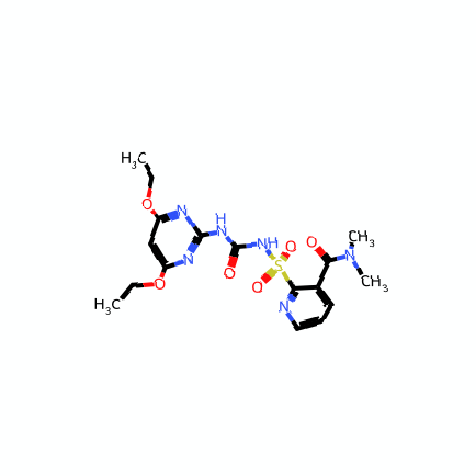 CCOc1cc(OCC)nc(NC(=O)NS(=O)(=O)c2ncccc2C(=O)N(C)C)n1